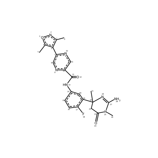 Cc1noc(C)c1-c1cnc(C(=O)Nc2ccc(F)c(C3(C)CC(=O)N(C)C(N)=N3)c2)cn1